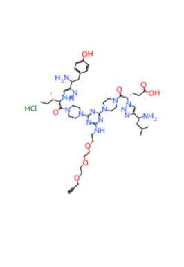 C#CCOCCOCCOCCNc1nc(N2CCN(C(=O)C([C@@H](C)CC)n3cc(C(N)Cc4ccc(O)cc4)nn3)CC2)nc(N2CCN(C(=O)[C@H](CCC(=O)O)n3cc(C(N)CC(C)C)nn3)CC2)n1.Cl